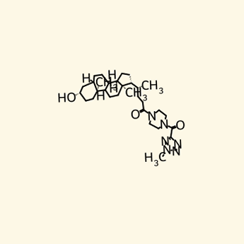 C[C@H](CCC(=O)N1CCN(C(=O)c2nnn(C)n2)CC1)[C@H]1CC[C@H]2[C@@H]3CC[C@H]4C[C@@H](O)CC[C@]4(C)[C@H]3CC[C@]12C